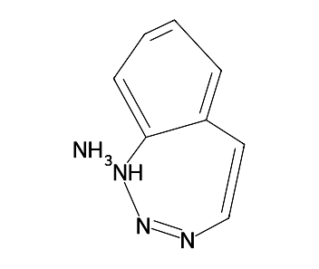 C1=Cc2ccccc2NN=N1.N